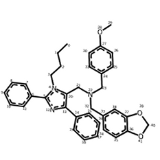 CCCCn1c(-c2ccccc2)nc(-c2ccccc2)c1CN(Cc1ccc(OC)cc1)Cc1ccc2c(c1)OCO2